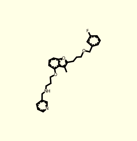 Cc1c(CCCOCc2cccc(F)c2)oc2cccc(OCCCNCc3cccnc3)c12